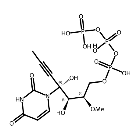 CC#C[C@@](O)([C@H](O)[C@@H](COP(=O)(O)OP(=O)(O)OP(=O)(O)O)OC)n1ccc(=O)[nH]c1=O